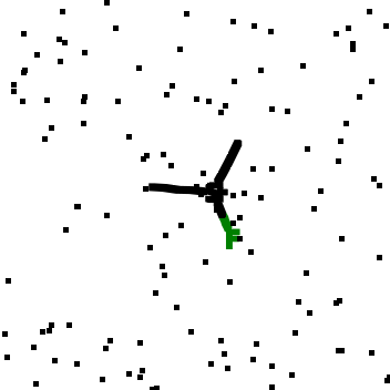 C[Si](C)F